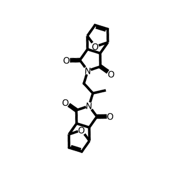 CC(CN1C(=O)C2C3C=CC(O3)C2C1=O)N1C(=O)C2C3C=CC(O3)C2C1=O